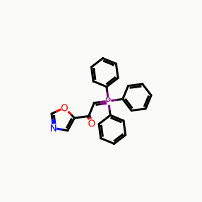 O=C(C=P(c1ccccc1)(c1ccccc1)c1ccccc1)c1cnco1